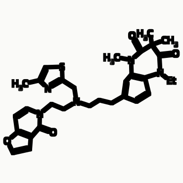 CCN1C(=O)C(C)(C)C(=O)N(C)c2cc(CCCN(CCn3ccc4occc4c3=O)Cc3nc(C)cs3)ccc21